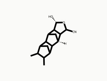 CC1C(C)C2CC1C1C3C[C@H](C21)C1C(C#N)O[C@@H](O)C31